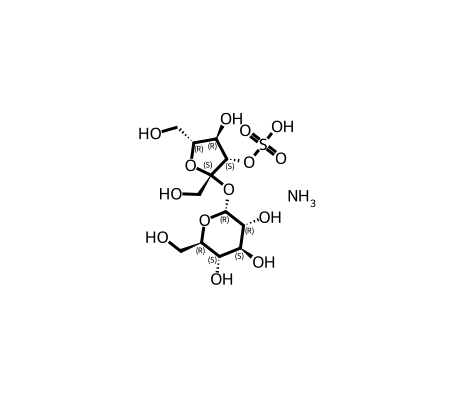 N.O=S(=O)(O)O[C@H]1[C@H](O)[C@@H](CO)O[C@@]1(CO)O[C@H]1O[C@H](CO)[C@@H](O)[C@H](O)[C@H]1O